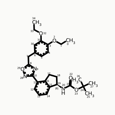 CCOc1ccc(Cc2nc(-c3cccc4c3CC[C@H]4NC(=O)OC(C)(C)C)no2)cc1OCC